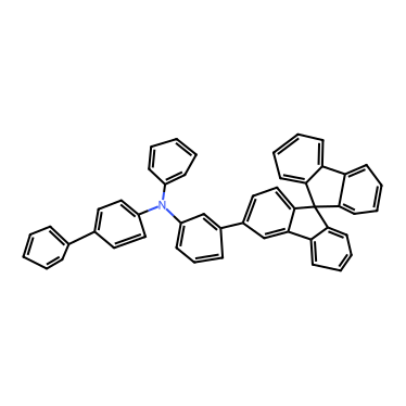 c1ccc(-c2ccc(N(c3ccccc3)c3cccc(-c4ccc5c(c4)-c4ccccc4C54c5ccccc5-c5ccccc54)c3)cc2)cc1